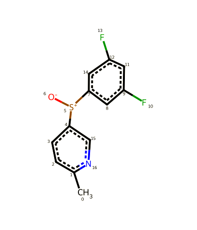 Cc1ccc([S+]([O-])c2cc(F)cc(F)c2)cn1